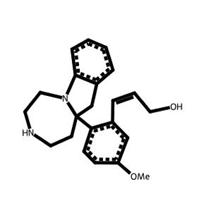 COc1ccc(C23CCNCCN2c2ccccc2C3)c(/C=C\CO)c1